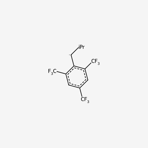 CC(C)[CH]c1c(C(F)(F)F)cc(C(F)(F)F)cc1C(F)(F)F